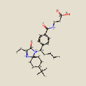 CCCC[C@H](c1ccc(C(=O)NCCC(=O)O)cc1)N1C(=O)C(CC)=NC12CCC(C(C)(C)C)CC2